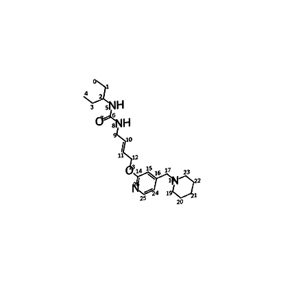 CCC(CC)NC(=O)NCC=CCOc1cc(CN2CCCCC2)ccn1